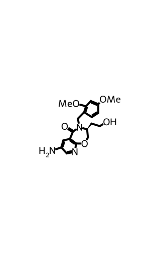 COc1ccc(CN2C(=O)c3cc(N)cnc3OC[C@@H]2CCO)c(OC)c1